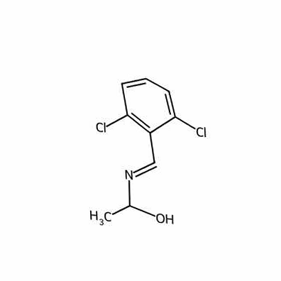 CC(O)N=Cc1c(Cl)cccc1Cl